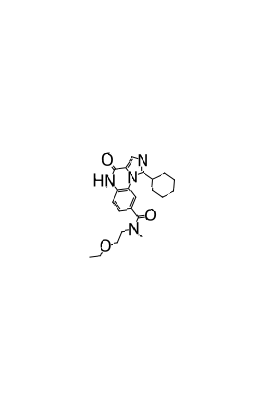 CCOCCN(C)C(=O)c1ccc2[nH]c(=O)c3cnc(C4CCCCC4)n3c2c1